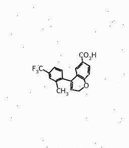 Cc1cc(C(F)(F)F)ccc1C1=CCOc2ccc(C(=O)O)cc21